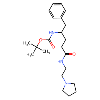 CC(C)(C)OC(=O)NC(CCC(=O)NCCN1CCCC1)Cc1ccccc1